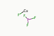 FP(F)F.[F][Cu]